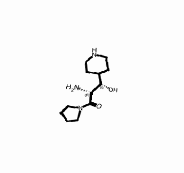 N[C@@H](C(=O)N1CCCC1)[C@@H](O)C1CCNCC1